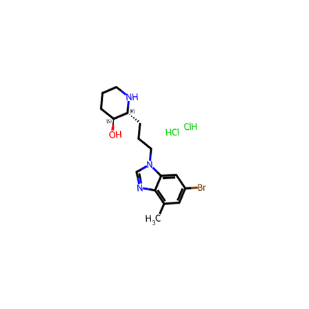 Cc1cc(Br)cc2c1ncn2CCC[C@H]1NCCC[C@@H]1O.Cl.Cl